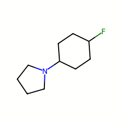 FC1CCC(N2CCCC2)CC1